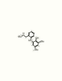 CC(C)(C)NCc1ccccc1Pc1cc(C(C)(C)C)cc(C(C)(C)C)c1O